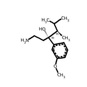 COc1cccc([C@@](O)(CCN)[C@H](C)C(C)C)c1